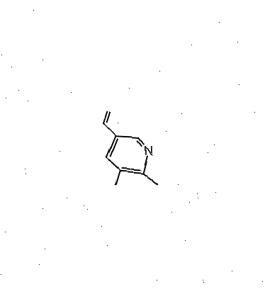 C=Cc1cnc(C)c(C)c1